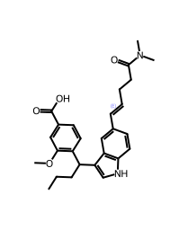 CCCC(c1ccc(C(=O)O)cc1OC)c1c[nH]c2ccc(/C=C/CCC(=O)N(C)C)cc12